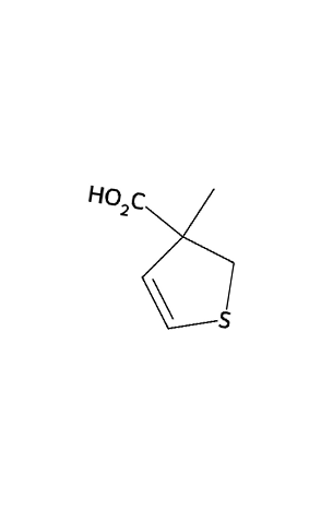 CC1(C(=O)O)C=CSC1